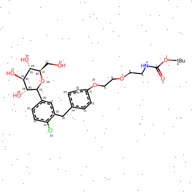 CC(C)(C)OC(=O)NCCOCCOc1ccc(Cc2cc(C3O[C@H](CO)[C@@H](O)[C@H](O)[C@H]3O)ccc2Cl)cc1